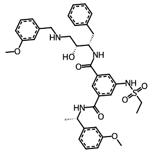 CCS(=O)(=O)Nc1cc(C(=O)N[C@@H](C)c2cccc(OC)c2)cc(C(=O)N[C@@H](Cc2ccccc2)[C@H](O)CNCc2cccc(OC)c2)c1